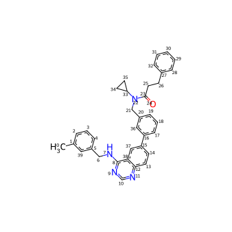 Cc1cccc(CNc2ncnc3ccc(-c4cccc(CN(C(=O)CCc5ccccc5)C5CC5)c4)cc23)c1